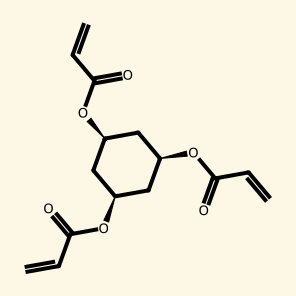 C=CC(=O)O[C@H]1C[C@@H](OC(=O)C=C)C[C@@H](OC(=O)C=C)C1